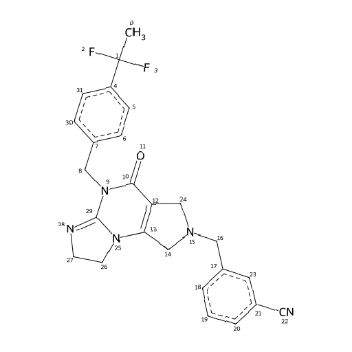 CC(F)(F)c1ccc(CN2C(=O)C3=C(CN(Cc4cccc(C#N)c4)C3)N3CCN=C23)cc1